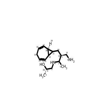 CC(NC[C@H](C)O)[C@H](CN)CC1C2C=CCC=C[C@H]21